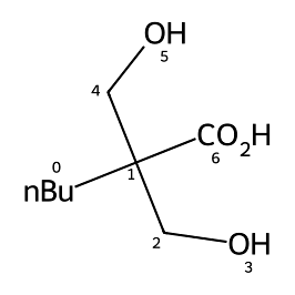 CCCCC(CO)(CO)C(=O)O